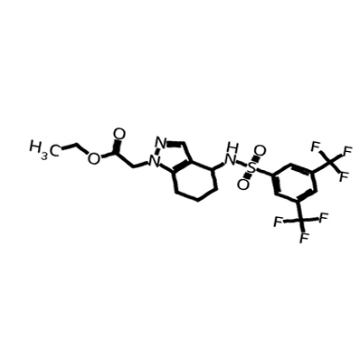 CCOC(=O)Cn1ncc2c1CCCC2NS(=O)(=O)c1cc(C(F)(F)F)cc(C(F)(F)F)c1